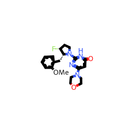 COc1ccccc1C[C@@H]1[C@H](F)CCN1c1nc(N2CCOCC2)cc(=O)[nH]1